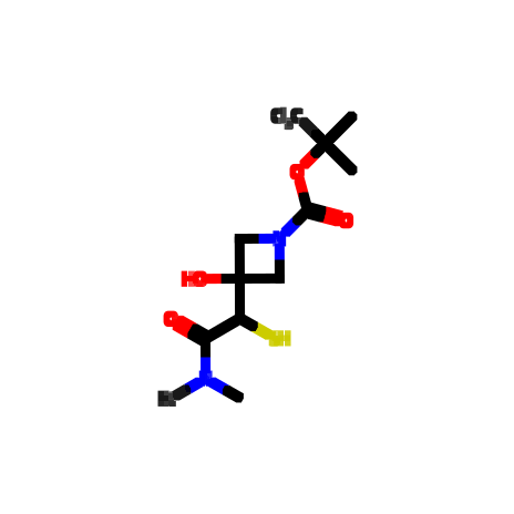 CCN(C)C(=O)C(S)C1(O)CN(C(=O)OC(C)(C)C(Cl)(Cl)Cl)C1